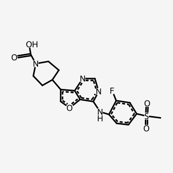 CS(=O)(=O)c1ccc(Nc2ncnc3c(C4CCN(C(=O)O)CC4)coc23)c(F)c1